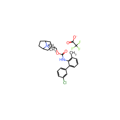 Cc1cccc(-c2cccc(Cl)c2)c1NC(=O)OCC1CC2CCC(C1)[N+]2(C)C.O=C([O-])C(F)(F)F